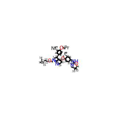 CC(C)Oc1ccc(-c2cn(COCC[Si](C)(C)C)c3nccc(Oc4ccc(NC5=NCC(C)(C)CO5)cc4C(F)(F)F)c23)cc1C#N